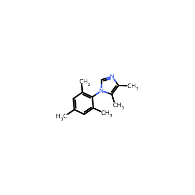 Cc1cc(C)c(-n2cnc(C)c2C)c(C)c1